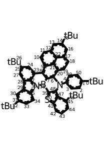 CC(C)(C)c1ccc(N2c3c4c(c5ccc6cc(C(C)(C)C)cc7ccc3c5c67)-c3cc(C(C)(C)C)cc5c6cc(C(C)(C)C)ccc6n(c35)B4c3sc4cccc(C(C)(C)C)c4c32)cc1